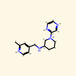 Cc1cc(CNC2CCCN(c3cnccn3)C2)ccn1